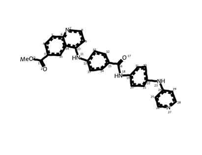 COC(=O)c1ccc2nccc(Nc3ccc(C(=O)Nc4ccc(Nc5ccncc5)cc4)cc3)c2c1